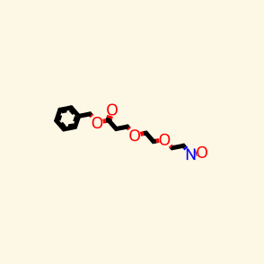 O=NCCOCCOCCC(=O)OCc1ccccc1